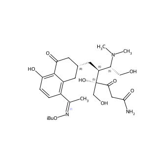 C/C(=N/OCC(C)C)c1ccc(O)c2c1C[C@@H](C[C@@H]([C@@H](CO)N(C)C)[C@](O)(CO)C(=O)CC(N)=O)CC2=O